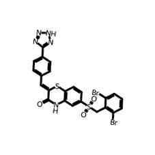 O=C1Nc2cc(S(=O)(=O)Cc3c(Br)cccc3Br)ccc2SC1=Cc1ccc(-c2nn[nH]n2)cc1